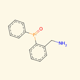 NCc1ccccc1[P](=O)c1ccccc1